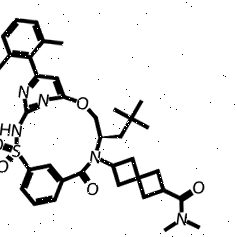 Cc1cccc(C)c1-c1cc2nc(n1)NS(=O)(=O)c1cccc(c1)C(=O)N(C1CC3(CC(C(=O)N(C)C)C3)C1)[C@H](CC(C)(C)C)CO2